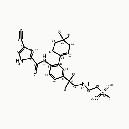 C#Cc1c[nH]c(C(=O)Nc2ccc(C(C)(C)CNCCS(C)(=O)=O)cc2C2=CCC(C)(C)CC2)n1